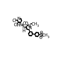 CCn1nc(-c2cccc(-c3ccc(S(C)(=O)=O)cc3)c2)cc(NC(=O)Nc2ccnc(Cl)c2Cl)c1=O